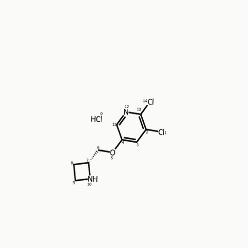 Cl.Clc1cc(OC[C@H]2CCN2)cnc1Cl